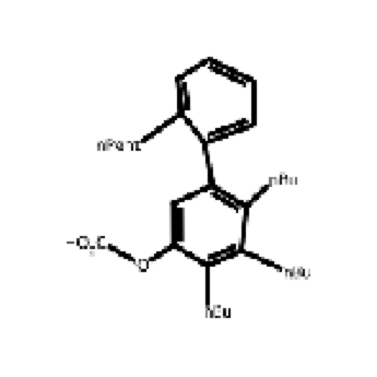 CCCCCc1ccccc1-c1cc(OC(=O)O)c(CCCC)c(CCCC)c1CCCC